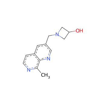 Cc1nccc2cc(CN3CC(O)C3)cnc12